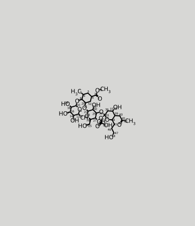 COC(=O)C1CC(C)C(OC2OC(C)C(O)C(O)C2O)C(OC2OC(CO)C(O)C(OC3(OC(=O)O)CC(O)C(CC(C)=O)C(CCCO)O3)C2O)C1